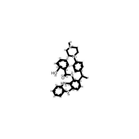 CC(c1ccc(N2CCN(C)CC2)cc1)c1ccc2c(c1OC(=O)c1ccccc1O)Nc1ccccc1S2